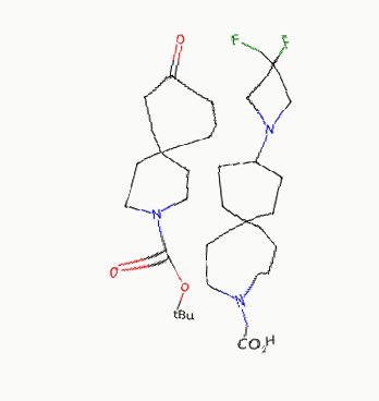 CC(C)(C)OC(=O)N1CCC2(CCC(=O)CC2)CC1.O=C(O)N1CCC2(CCC(N3CC(F)(F)C3)CC2)CC1